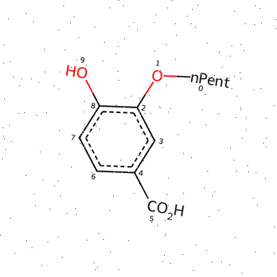 CCCCCOc1cc(C(=O)O)ccc1O